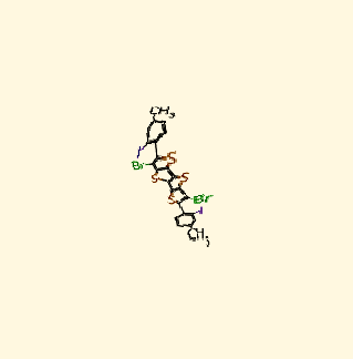 Cc1ccc(-c2sc3c(sc4c5sc(-c6ccc(C)cc6I)c(Br)c5sc34)c2Br)c(I)c1